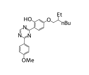 CCCCC(CC)COc1ccc(-c2ncnc(-c3ccc(OC)cc3)n2)c(O)c1